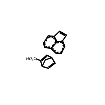 C1=Cc2cccc3cccc1c23.O=C(O)C1=CC2C=CC1C2